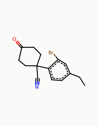 CCc1ccc(C2(C#N)CCC(=O)CC2)c(Br)c1